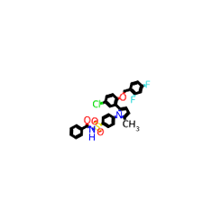 Cc1ccc(-c2cc(Cl)ccc2OCc2ccc(F)cc2F)n1-c1ccc(S(=O)(=O)NC(=O)c2ccccc2)cc1